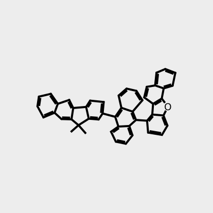 CC1(C)c2cc(-c3c4ccccc4c(-c4cccc5oc6c7ccccc7ccc6c45)c4ccccc34)ccc2-c2cc3ccccc3cc21